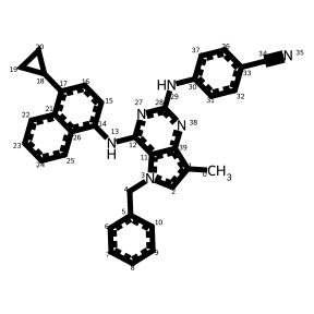 Cc1cn(Cc2ccccc2)c2c(Nc3ccc(C4CC4)c4ccccc34)nc(Nc3ccc(C#N)cc3)nc12